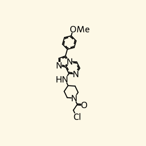 COc1ccc(-c2cnc3c(NC4CCN(C(=O)CCl)CC4)nccn23)cc1